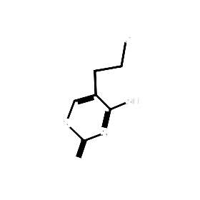 Nc1nc(=O)[nH]cc1CCO